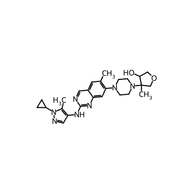 Cc1cc2cnc(Nc3cnn(C4CC4)c3C)nc2cc1N1CCN(C2(C)COCC2O)CC1